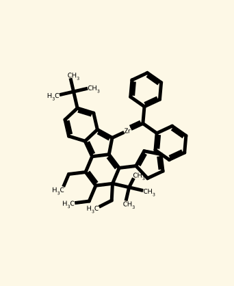 CCC1=C(CC)C(CC)(C(C)(C)C)C(C2=CC=CC2)=C2[C]([Zr]=[C](c3ccccc3)c3ccccc3)=c3cc(C(C)(C)C)ccc3=C12